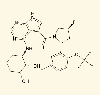 O=C(c1n[nH]c2ncnc(N[C@@H]3CCC[C@@H](O)[C@H]3O)c12)N1C[C@@H](F)C[C@@H]1c1cc(F)ccc1OC(F)(F)F